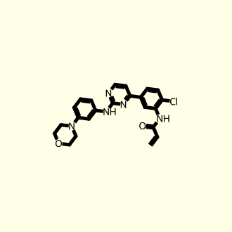 C=CC(=O)Nc1cc(-c2ccnc(Nc3cccc(N4CCOCC4)c3)n2)ccc1Cl